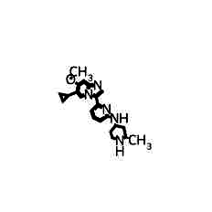 COc1cc2ncc(-c3cccc(N[C@H]4CCN[C@@H](C)C4)n3)n2cc1C1CC1